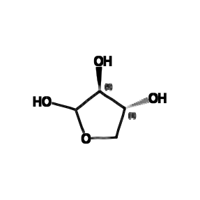 OC1OC[C@@H](O)[C@@H]1O